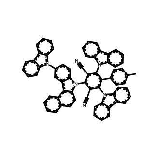 Cc1ccc(-c2c(-n3c4ccccc4c4ccccc43)c(C#N)c(-n3c4ccc(-n5c6ccccc6c6ccccc65)cc4c4c5ccccc5ccc43)c(C#N)c2-n2c3ccccc3c3ccccc32)cc1